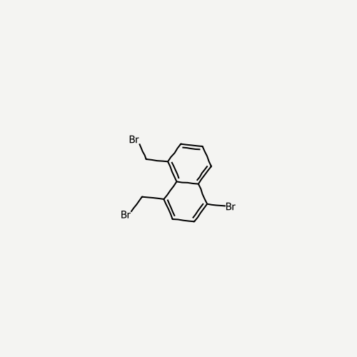 BrCc1cccc2c(Br)ccc(CBr)c12